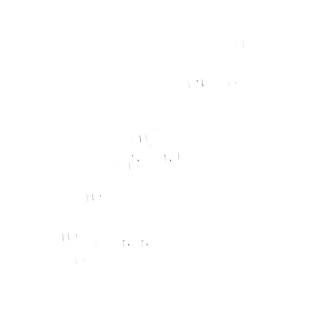 C=N/C(=C\C(=C(C)C)c1cnn2c1CC(C)(C)C2)NC(=O)[C@H]1CCC[C@@H](NC(=O)CO)C1